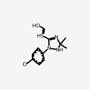 CC1(C)N=C([SH]=CO)N(c2ccc(Cl)cc2)N1